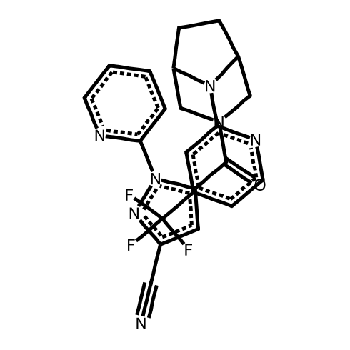 N#Cc1cc(C(=O)N2CC3CCC(C2)N3c2cc(C(F)(F)F)ccn2)n(-c2ccccn2)n1